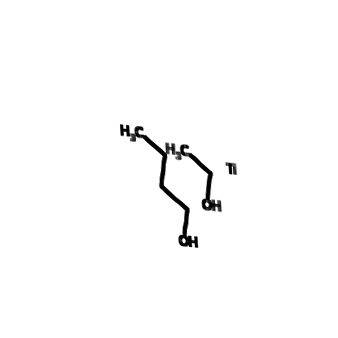 CCCCO.CCO.[Ti]